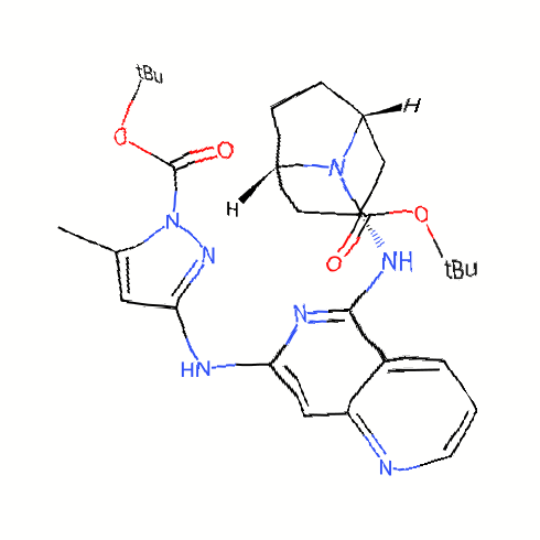 Cc1cc(Nc2cc3ncccc3c(N[C@H]3C[C@H]4CC[C@@H](C3)N4C(=O)OC(C)(C)C)n2)nn1C(=O)OC(C)(C)C